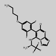 C[C@@H](Nc1c(-c2c(F)cc(OCCCN)cc2F)c(Cl)nc2ncnn12)C(F)(F)F